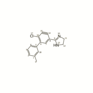 Cc1cccc(-c2cc(C3=NCCN3)c#cc2Cl)c1